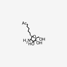 CC(=O)CCCCCC[C@@H]1OC(CO)[C@H](O)[C@H](O)C1N